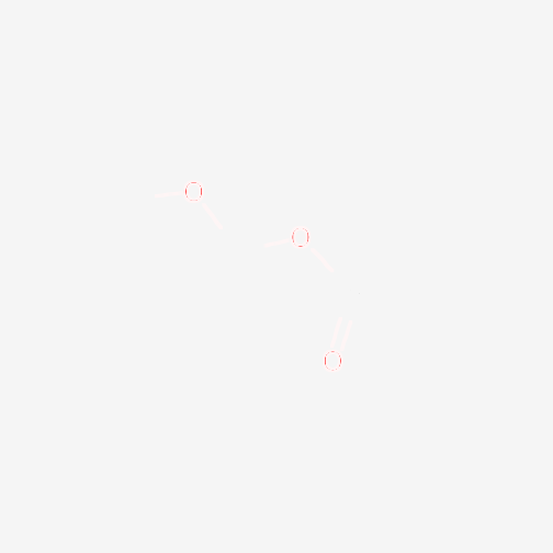 C=CC(=O)OC1C=CC=CO1